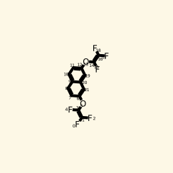 FC(F)=C(F)Oc1ccc2ccc(OC(F)=C(F)F)cc2c1